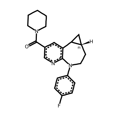 O=C(c1cnc2c(c1)C1C[C@@H]1CCN2c1ccc(F)cc1)N1CCCCC1